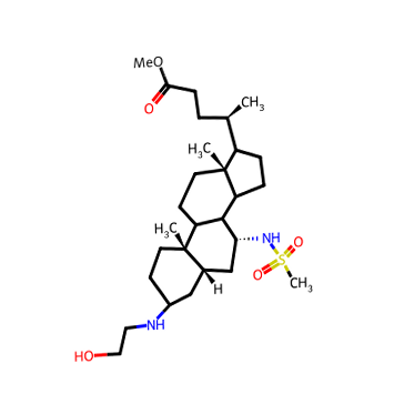 COC(=O)CC[C@@H](C)C1CCC2C3C(CC[C@@]21C)[C@@]1(C)CCC(NCCO)C[C@H]1C[C@H]3NS(C)(=O)=O